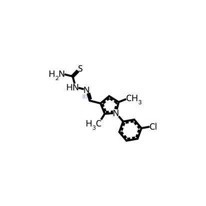 Cc1cc(/C=N/NC(N)=S)c(C)n1-c1cccc(Cl)c1